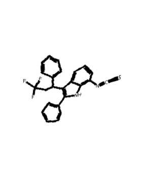 FC(F)(F)CC(c1ccccc1)c1c(-c2ccccc2)[nH]c2c(N=C=S)cccc12